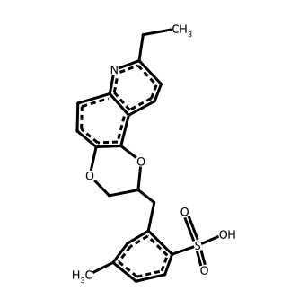 CCc1ccc2c3c(ccc2n1)OCC(Cc1cc(C)ccc1S(=O)(=O)O)O3